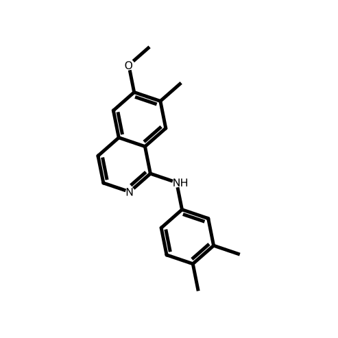 COc1cc2ccnc(Nc3ccc(C)c(C)c3)c2cc1C